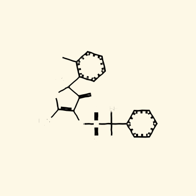 BC(B)(c1ccccc1)S(=O)(=O)OC1=C(N)O[C@@](B)(c2ccccc2C)C1=O